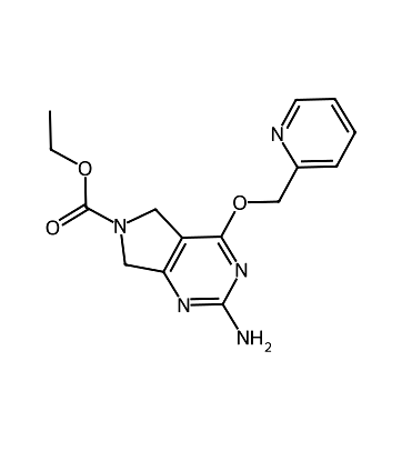 CCOC(=O)N1Cc2nc(N)nc(OCc3ccccn3)c2C1